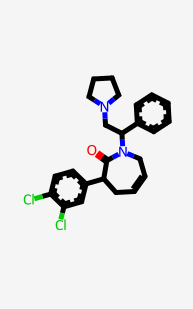 O=C1C(c2ccc(Cl)c(Cl)c2)CC=CCN1C(CN1CCCC1)c1ccccc1